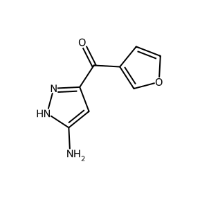 Nc1cc(C(=O)c2ccoc2)n[nH]1